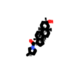 C[C@@H]1CCN(C(=O)[C@H]2CC[C@H]3[C@@H]4CC[C@@H]5C[C@](C)(O)CC[C@@H]5[C@H]4CC[C@]23C)C1